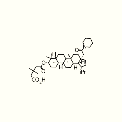 CC(C)[C@@H]1CC[C@]2(CC(=O)N3CCCCC3)CC[C@]3(C)[C@H](CC[C@@H]4[C@@]5(C)CC[C@H](OC(=O)CC(C)(C)CC(=O)O)C(C)(C)[C@@H]5CC[C@]43C)[C@@H]12